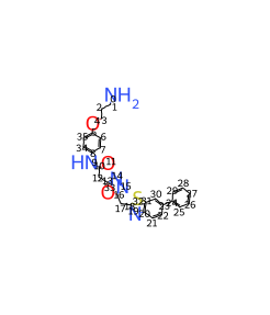 NCCCOc1ccc(NC(=O)Cc2nnc(Cc3nc4ccc(-c5ccccc5)cc4s3)o2)cc1